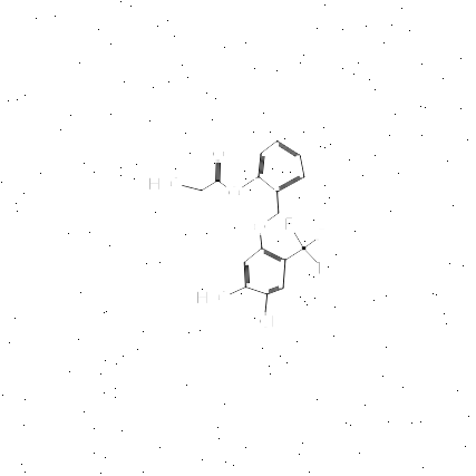 CCC(=O)Oc1ccccc1COc1cc(C)c(C)cc1C(F)(F)F